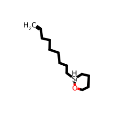 C=CCCCCCCC[SiH]1CCCCO1